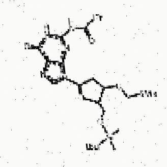 CSCOC1CC(n2cnc3c(=O)[nH]c(NC(=O)C(C)C)nc32)OC1CO[Si](C)(C)C(C)(C)C